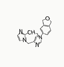 Cc1nccn1Cc1cn(-c2ccc3c(c2)COC3)cn1